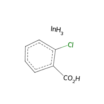 O=C(O)c1ccccc1Cl.[InH3]